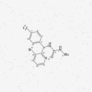 CC(C)(C)NC(=O)NC(c1ccc(C(F)(F)F)cc1)c1ncccc1Br